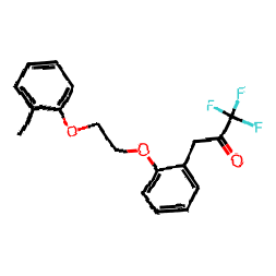 Cc1ccccc1OCCOc1ccccc1CC(=O)C(F)(F)F